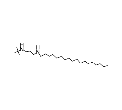 CCCCCCCCCCCCCCCCCCNCCCNC(C)(C)C